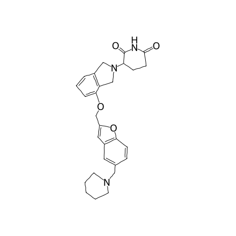 O=C1CCC(N2Cc3cccc(OCc4cc5cc(CN6CCCCC6)ccc5o4)c3C2)C(=O)N1